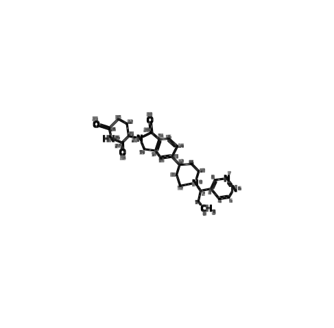 CCC(c1ccnnc1)N1CCC(c2ccc3c(c2)CN(C2CCC(=O)NC2=O)C3=O)CC1